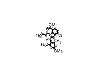 COC(=O)c1ccc(Cl)c2nc(Nc3c(C)nc(OC)nc3C)n(CCCO)c12